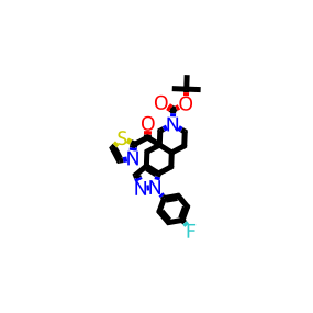 CC(C)(C)OC(=O)N1CCC2Cc3c(cnn3-c3ccc(F)cc3)CC2(C(=O)c2nccs2)C1